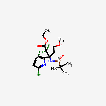 CCOC(=O)C(F)(F)C(CCOC)(N[S@@+]([O-])C(C)(C)C)c1nc(Br)ccc1F